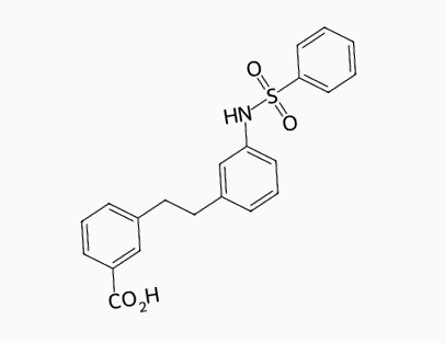 O=C(O)c1cccc(CCc2cccc(NS(=O)(=O)c3ccccc3)c2)c1